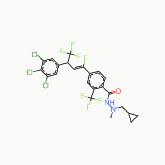 CN(CC1CC1)NC(=O)c1ccc(/C(F)=C/C(c2cc(Cl)c(Cl)c(Cl)c2)C(F)(F)F)cc1C(F)(F)F